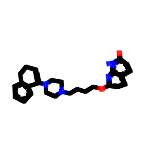 O=c1ccc2ccc(OCCCCN3CCN(C4=CCCc5ccccc54)CC3)nc2[nH]1